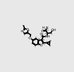 Cc1ncc(COc2ccc3oc(C4CC4)c(C(=O)NC(CO)C(N)=O)c3c2)o1